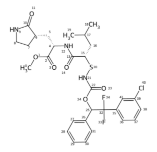 COC(=O)[C@H](C[C@@H]1CCNC1=O)NC(=O)[C@H](CC(C)C)SNC(=O)OC(c1ccccc1)C(F)(F)c1cccc(Cl)c1